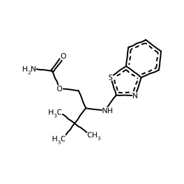 CC(C)(C)C(COC(N)=O)Nc1nc2ccccc2s1